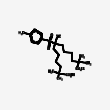 [C-]#[N+]C(CCCCC(C)(C)C(=O)OCC)(CCCCC(C)(C)C(=O)OCC)S(=O)(=O)c1ccc(C)cc1